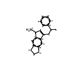 CC(CC1=CC([SiH3])c2cc3c(cc21)CCC3)c1ccccc1